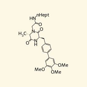 CCCCCCCNC(=O)CN1C(=O)[C@@H](Cc2ccc(-c3cc(OC)c(OC)c(OC)c3)cc2)NC(=O)[C@@H]1C